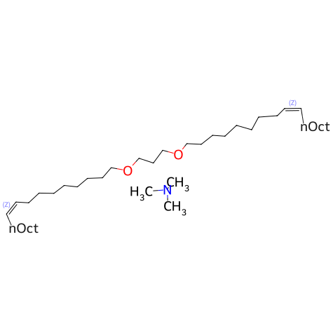 CCCCCCCC/C=C\CCCCCCCCOCCCOCCCCCCCC/C=C\CCCCCCCC.CN(C)C